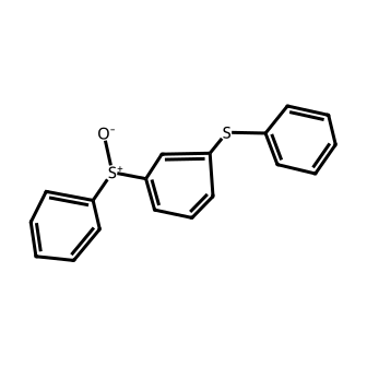 [O-][S+](c1ccccc1)c1cccc(Sc2ccccc2)c1